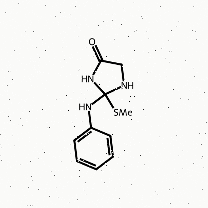 CSC1(Nc2ccccc2)NCC(=O)N1